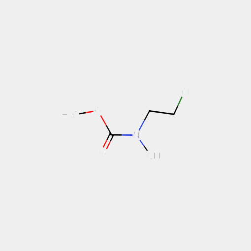 COC(=O)N(C)CCCl